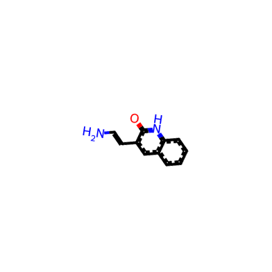 NC=Cc1cc2ccccc2[nH]c1=O